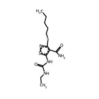 CCCCCSc1nsc(NC(=O)NCC)c1C(N)=O